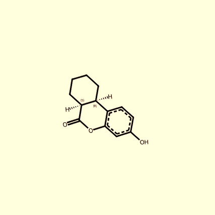 O=C1Oc2cc(O)ccc2[C@@H]2CCCC[C@H]12